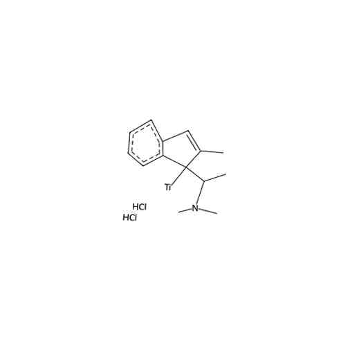 CC1=Cc2ccccc2[C]1([Ti])C(C)N(C)C.Cl.Cl